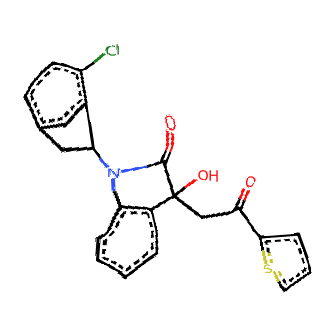 O=C(CC1(O)C(=O)N(C2Cc3ccc(Cl)c2c3)c2ccccc21)c1cccs1